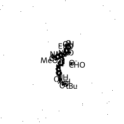 CC[C@@]1(O)C(=O)OCc2c1cc1n(c2=O)Cc2c-1nc1cc(C(=O)NC)c(OC)cc1c2CN1CCC([N+](C)(C)Cc2ccc(NC(=O)[C@H](C)NC(=O)OC(C)(C)C)cc2)CC1.O=C[O-]